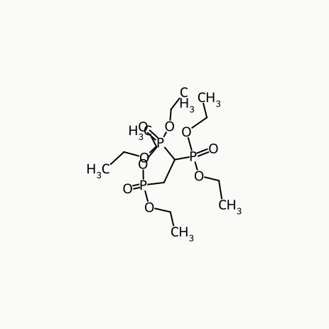 CCOP(=O)(CC(P(=O)(OCC)OCC)P(=O)(OCC)OCC)OCC